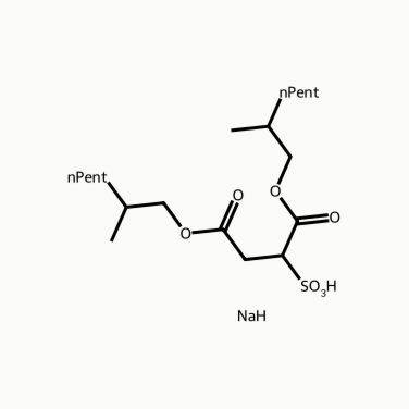 CCCCCC(C)COC(=O)CC(C(=O)OCC(C)CCCCC)S(=O)(=O)O.[NaH]